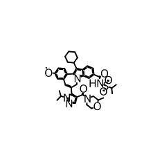 COc1ccc2c(c1)C=C(c1c(C(=O)N3CCOC(C)C3)cnn1C(C)C)Cn1c-2c(C2CCCCC2)c2ccc(C(=O)NS(=O)(=O)C(C)C)cc21